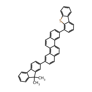 CC1(C)c2ccccc2-c2ccc(-c3ccc4ccc5c6cc(-c7cccc8c7sc7ccccc78)ccc6ccc5c4c3)cc21